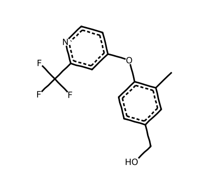 Cc1cc(CO)ccc1Oc1ccnc(C(F)(F)F)c1